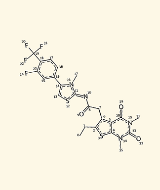 CCc1sc2c(c1CC(=O)N=c1scc(-c3ccc(C(F)(F)F)c(F)c3)n1C)c(=O)n(C)c(=O)n2C